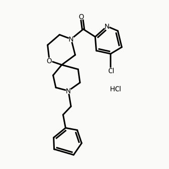 Cl.O=C(c1cc(Cl)ccn1)N1CCOC2(CCN(CCc3ccccc3)CC2)C1